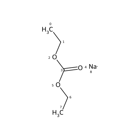 CCOC(=O)OCC.[Na]